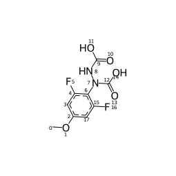 COc1cc(F)c(N(NC(=O)O)C(=O)O)c(F)c1